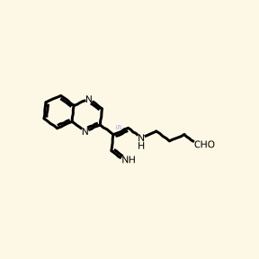 N=C/C(=C\NCCCC=O)c1cnc2ccccc2n1